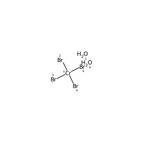 O.O.[Br][Cr]([Br])([Br])[Br]